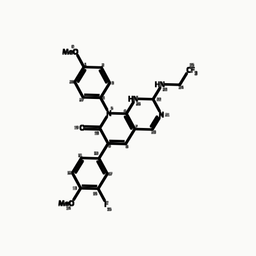 COc1ccc(-n2c3c(cc(-c4ccc(OC)c(F)c4)c2=O)C=NC(NCC(F)(F)F)N3)cc1